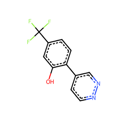 Oc1cc(C(F)(F)F)ccc1-c1ccnnc1